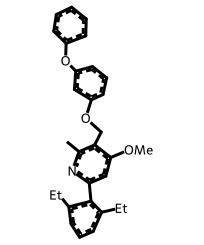 CCc1cccc(CC)c1-c1cc(OC)c(COc2cccc(Oc3ccccc3)c2)c(C)n1